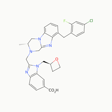 C[C@@H]1Cn2c(nc3c(Cc4ccc(Cl)cc4F)cccc32)CN1Cc1nc2ccc(C(=O)O)cc2n1C[C@@H]1CCO1